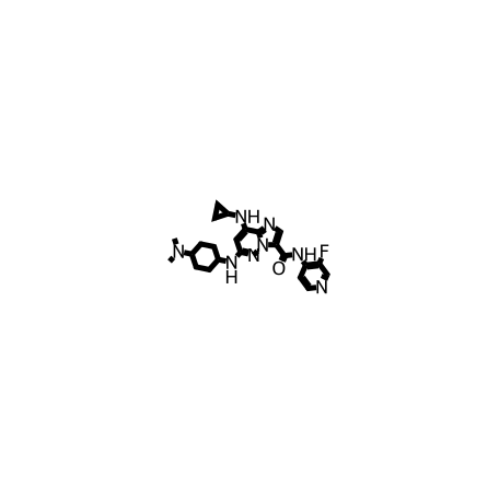 CN(C)C1CCC(Nc2cc(NC3CC3)c3ncc(C(=O)Nc4ccncc4F)n3n2)CC1